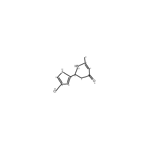 CC1=CC(=O)CC(c2cc(Cl)cs2)N1